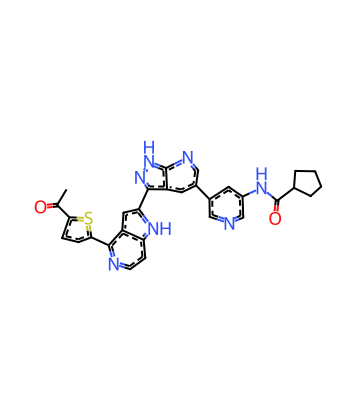 CC(=O)c1ccc(-c2nccc3[nH]c(-c4n[nH]c5ncc(-c6cncc(NC(=O)C7CCCC7)c6)cc45)cc23)s1